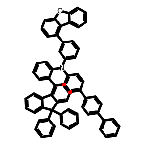 c1ccc(-c2ccc(-c3ccc(N(c4cccc(-c5cccc6oc7ccccc7c56)c4)c4ccccc4-c4cccc5c4-c4ccccc4C5(c4ccccc4)c4ccccc4)cc3)cc2)cc1